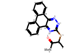 CNC(=O)C(C)Sc1nnc2c3ccccc3c3ccccc3c2n1